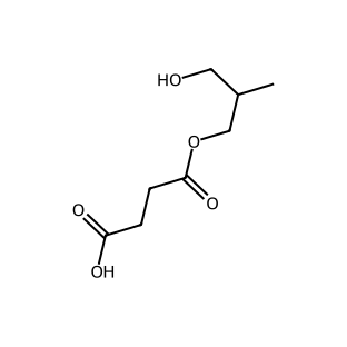 CC(CO)COC(=O)CCC(=O)O